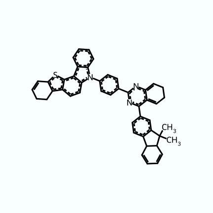 CC1(C)c2cc(-c3nc(-c4ccc(-n5c6ccccc6c6c7sc8c(c7ccc65)CCC=C8)cc4)nc4c3=CCCC=4)ccc2C2C=CC=CC21